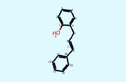 Oc1ccccc1C/C=C/c1ccccc1